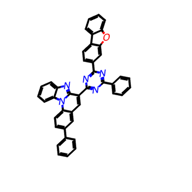 c1ccc(-c2ccc3c(c2)cc(-c2nc(-c4ccccc4)nc(-c4ccc5c(c4)oc4ccccc45)n2)c2nc4ccccc4n23)cc1